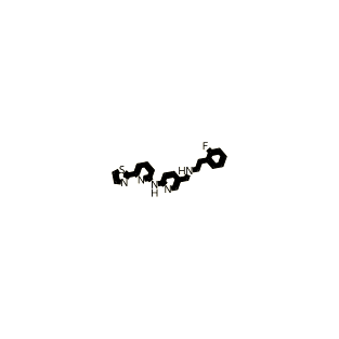 Fc1ccccc1CCNCc1ccc(Nc2cccc(-c3nccs3)n2)nc1